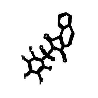 O=C1c2ccc3ccccc3c2C(=O)N1S(=O)(=O)c1c(F)c(F)c(F)c(F)c1F